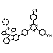 N#Cc1ccc(-c2nc(-c3ccc(C#N)cc3)nc(-c3ccc(-c4ccc5c(c4)C4(c6ccccc6-5)c5ccccc5N(c5ccccc5)c5ccccc54)cc3)n2)cc1